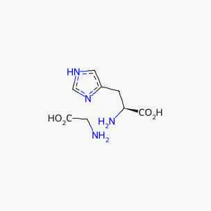 NCC(=O)O.N[C@@H](Cc1c[nH]cn1)C(=O)O